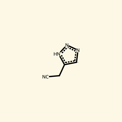 N#CCc1[c]nn[nH]1